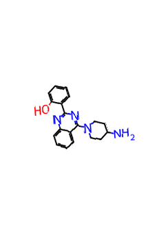 NC1CCN(c2nc(-c3ccccc3O)nc3ccccc23)CC1